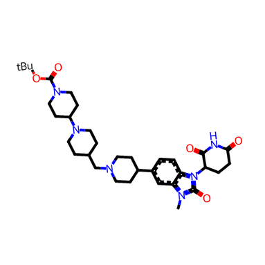 Cn1c(=O)n(C2CCC(=O)NC2=O)c2ccc(C3CCN(CC4CCN(C5CCN(C(=O)OC(C)(C)C)CC5)CC4)CC3)cc21